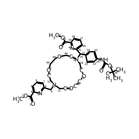 COC(=O)c1cccc(CN2CCOCCOCCN(C(c3ccc(NC(=O)OC(C)(C)C)cc3)c3cccc(C(=O)OC)n3)CCOCCOCC2)n1